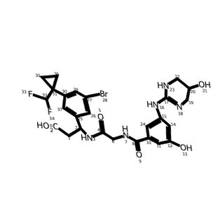 O=C(O)CC(NC(=O)CNC(=O)c1cc(O)cc(NC2=NCC(O)CN2)c1)c1cc(Br)cc(C2(C(F)F)CC2)c1